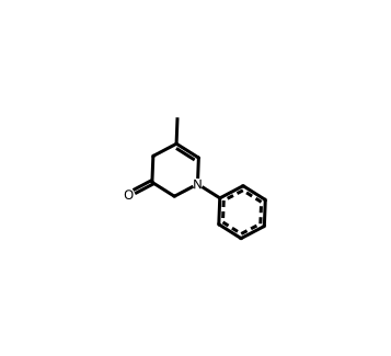 CC1=CN(c2ccccc2)CC(=O)C1